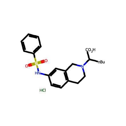 CCCCC(C(=O)O)N1CCc2ccc(NS(=O)(=O)c3ccccc3)cc2C1.Cl